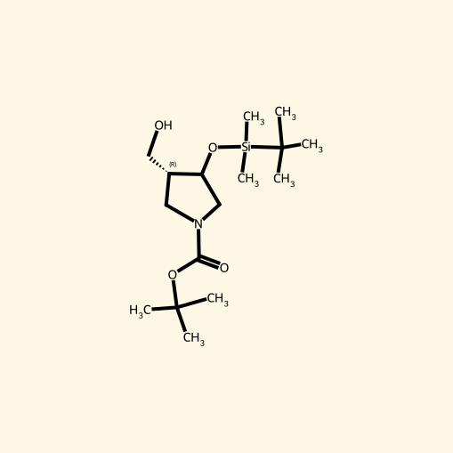 CC(C)(C)OC(=O)N1CC(O[Si](C)(C)C(C)(C)C)[C@@H](CO)C1